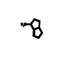 NC1CCC2CCC=C12